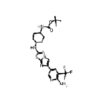 CC(C)(C)OC(=O)NC1CCC(Nc2nn3cc(-c4cnc(N)c(C(F)(F)F)c4)nc3s2)CC1